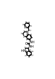 O=C(Nc1ccc2c(c1)SCCN2Cc1ccccn1)NC1CNc2ccccc21